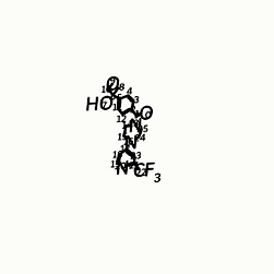 O=C(c1ccc(C2(O)COC2)cc1)N1CCN(c2ccnc(C(F)(F)F)c2)CC1